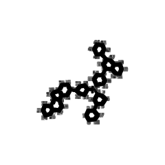 c1ccc(-c2cccc(N(c3ccc(-c4ccc5ccc6c7ccccc7ccc6c5c4)cc3)c3ccc(-c4cc(-c5ccccc5)cc5ccccc45)cc3)c2)cc1